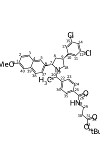 COc1ccc2cc([C@H]3C[C@@H](c4cc(Cl)cc(Cl)c4)CN3C(C)c3ccc(C(=O)NCCC(=O)OC(C)(C)C)cc3)ccc2c1